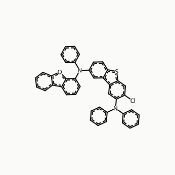 Clc1cc2sc3ccc(N(c4ccccc4)c4cccc5c4oc4ccccc45)cc3c2cc1N(c1ccccc1)c1ccccc1